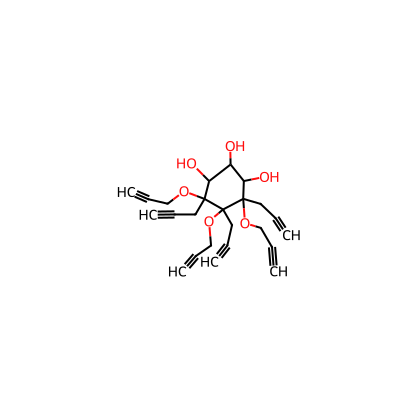 C#CCOC1(CC#C)C(O)C(O)C(O)C(CC#C)(OCC#C)C1(CC#C)OCC#C